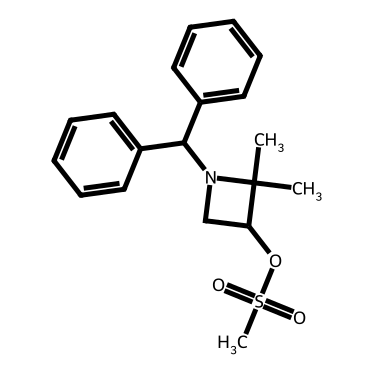 CC1(C)C(OS(C)(=O)=O)CN1C(c1ccccc1)c1ccccc1